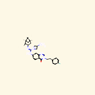 C[C@@H]1C(/N=C(/Nc2ccc3c(=O)n(CCc4ccc(F)cc4)cnc3c2)N2CC(N)C2)C[C@@H]2C[C@H]1C2(C)C